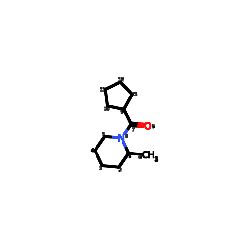 CC1CCCCN1C(=O)C1CCCC1